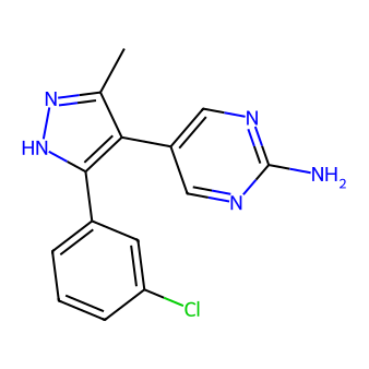 Cc1n[nH]c(-c2cccc(Cl)c2)c1-c1cnc(N)nc1